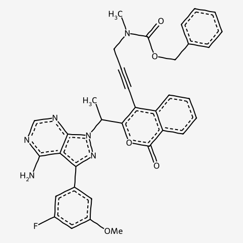 COc1cc(F)cc(-c2nn(C(C)c3oc(=O)c4ccccc4c3C#CCN(C)C(=O)OCc3ccccc3)c3ncnc(N)c23)c1